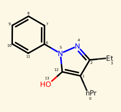 CCCc1c(CC)nn(-c2ccccc2)c1O